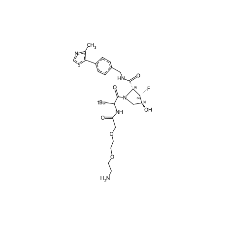 Cc1ncsc1-c1ccc(CNC(=O)[C@@H]2[C@H](F)[C@@H](O)CN2C(=O)C(NC(=O)COCCOCCN)C(C)(C)C)cc1